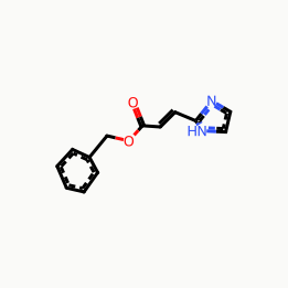 O=C(/C=C/c1ncc[nH]1)OCc1ccccc1